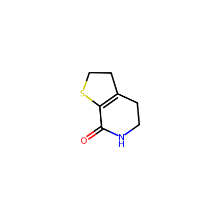 O=C1NCCC2=C1SCC2